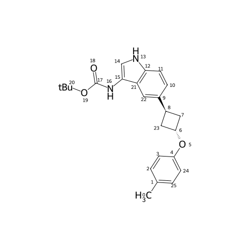 Cc1ccc(O[C@H]2C[C@H](c3ccc4[nH]cc(NC(=O)OC(C)(C)C)c4c3)C2)cc1